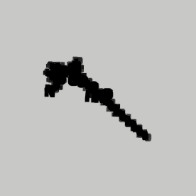 CCCCCCCCCCCCCCCC(=O)NCCOCCOCC(=O)N1C[C@H](C)C[C@H]1COP(OCCC#N)N(C(C)C)C(C)C